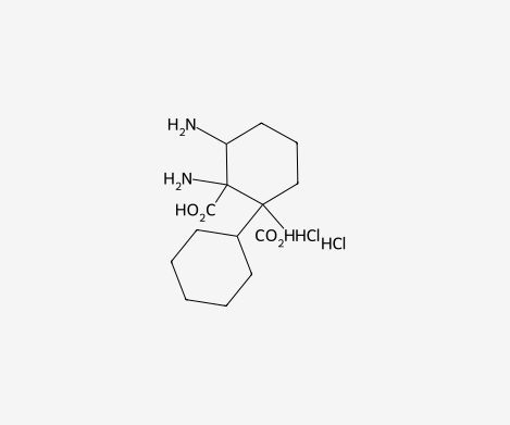 Cl.Cl.NC1CCCC(C(=O)O)(C2CCCCC2)C1(N)C(=O)O